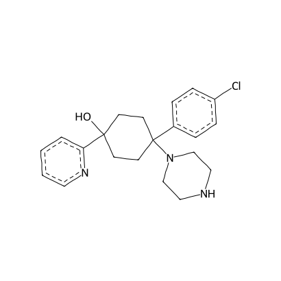 OC1(c2ccccn2)CCC(c2ccc(Cl)cc2)(N2CCNCC2)CC1